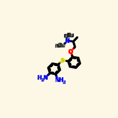 CCCCN(CCCC)C(C)COc1ccccc1Sc1ccc(N)c(N)c1